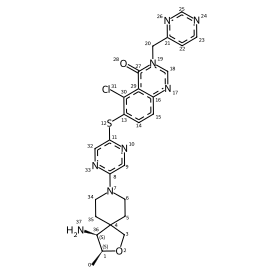 C[C@@H]1OCC2(CCN(c3cnc(Sc4ccc5ncn(Cc6ccncn6)c(=O)c5c4Cl)cn3)CC2)[C@@H]1N